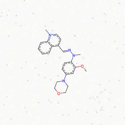 COc1cc(N2CCOCC2)ccc1N(C)/N=C/c1cc[n+](C)c2ccccc12